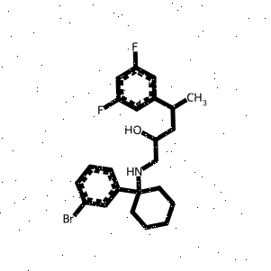 CC(CC(O)CNC1(c2cccc(Br)c2)CCCCC1)c1cc(F)cc(F)c1